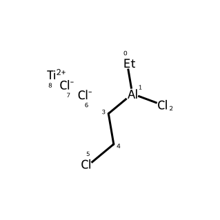 C[CH2][Al]([Cl])[CH2]CCl.[Cl-].[Cl-].[Ti+2]